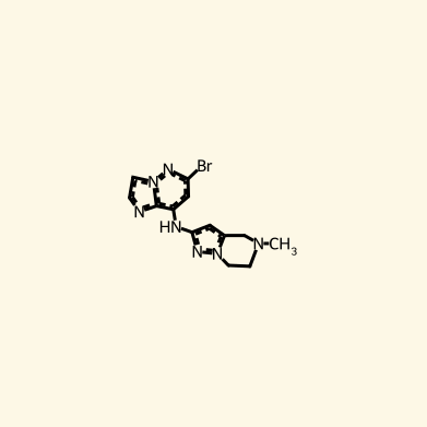 CN1CCn2nc(Nc3cc(Br)nn4ccnc34)cc2C1